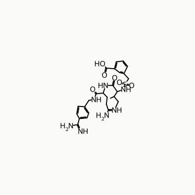 CCC(C)C(NS(=O)(=O)Cc1cccc(C(=O)O)c1)C(=O)NC(CCC(=N)N)C(=O)NCc1ccc(C(=N)N)cc1